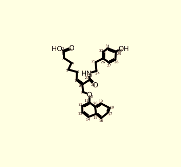 O=C(O)CCCCC=C(COc1cccc2ccccc12)C(=O)NCCc1ccc(O)cc1